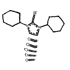 [C]=O.[C]=O.[C]=O.[C]=O.[C]=O.[W]=[c]1n(C2CCCCC2)ccn1C1CCCCC1